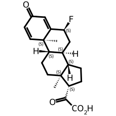 C[C@]12CC[C@H]3[C@@H](C[C@H](F)C4=CC(=O)C=C[C@@]43C)[C@@H]1CC[C@@H]2C(=O)C(=O)O